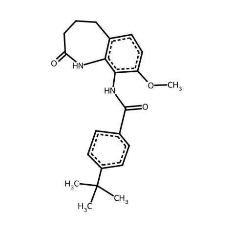 COc1ccc2c(c1NC(=O)c1ccc(C(C)(C)C)cc1)NC(=O)CCC2